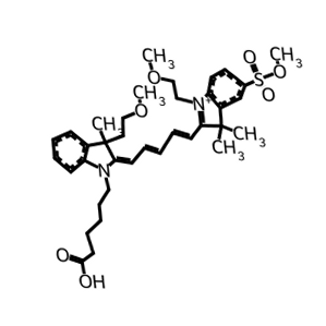 COCC[N+]1=C(/C=C/C=C/C=C2/N(CCCCCC(=O)O)c3ccccc3C2(C)CCOC)C(C)(C)c2cc(S(=O)(=O)OC)ccc21